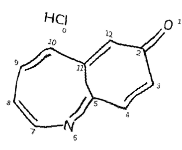 Cl.O=c1ccc2nccccc-2c1